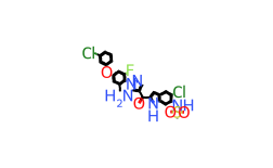 Cc1cc(Oc2cccc(Cl)c2)cc(F)c1-n1ncc(C(=O)c2cc3cc(Cl)c(NS(C)(=O)=O)cc3[nH]2)c1N